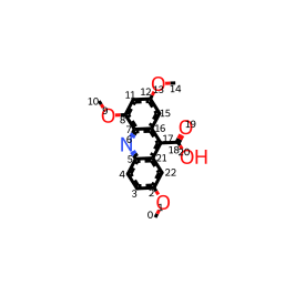 COc1ccc2nc3c(OC)cc(OC)cc3c(C(=O)O)c2c1